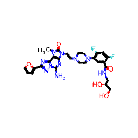 Cn1c(=O)n(CCN2CCN(c3cc(C(=O)NC[C@@H](O)CO)c(F)cc3F)CC2)c2nc(N)n3nc(-c4ccco4)nc3c21